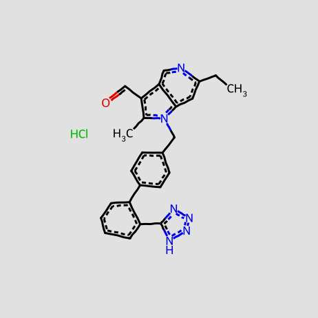 CCc1cc2c(cn1)c(C=O)c(C)n2Cc1ccc(-c2ccccc2-c2nnn[nH]2)cc1.Cl